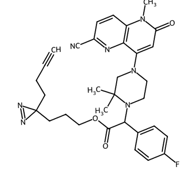 C#CCCC1(CCCOC(=O)C(c2ccc(F)cc2)N2CCN(c3cc(=O)n(C)c4ccc(C#N)nc34)CC2(C)C)N=N1